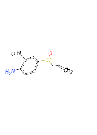 C=CC[S+]([O-])c1ccc(N)c([N+](=O)[O-])c1